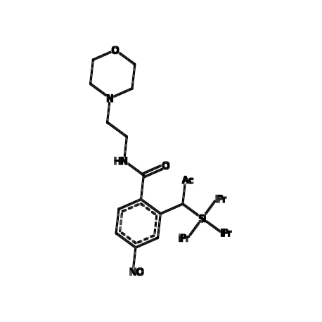 CC(=O)C(c1cc(N=O)ccc1C(=O)NCCN1CCOCC1)[Si](C(C)C)(C(C)C)C(C)C